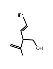 C=C(C)C(/C=C/C(C)C)CO